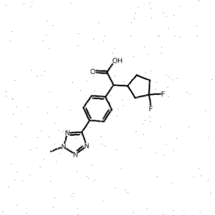 Cn1nnc(-c2ccc(C(C(=O)O)C3CCC(F)(F)C3)cc2)n1